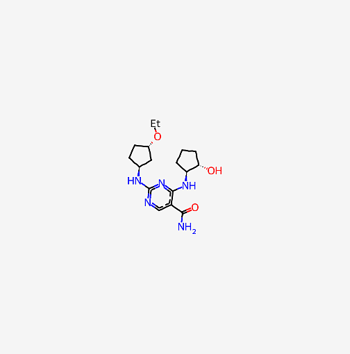 CCO[C@H]1CC[C@H](Nc2ncc(C(N)=O)c(N[C@H]3CCC[C@@H]3O)n2)C1